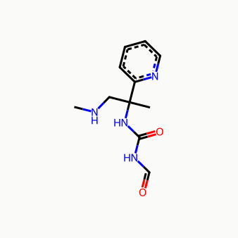 CNCC(C)(NC(=O)NC=O)c1ccccn1